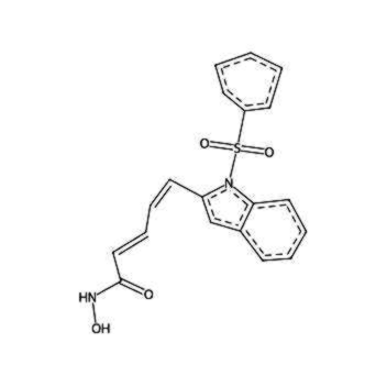 O=C(/C=C/C=C\c1cc2ccccc2n1S(=O)(=O)c1ccccc1)NO